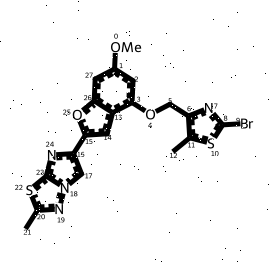 COc1cc(OCc2nc(Br)sc2C)c2cc(-c3cn4nc(C)sc4n3)oc2c1